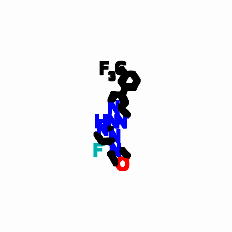 Fc1cnc(N/N=C\c2cc(C3=CCCC(C(F)(F)F)=C3)ccn2)nc1N1CCOCC1